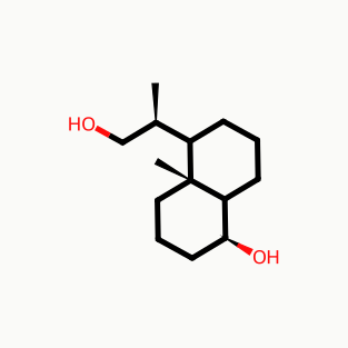 C[C@H](CO)C1CCCC2[C@@H](O)CCC[C@]12C